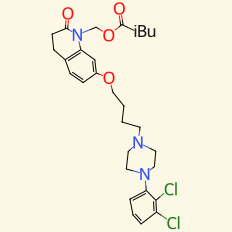 CCC(C)C(=O)OCN1C(=O)CCc2ccc(OCCCCN3CCN(c4cccc(Cl)c4Cl)CC3)cc21